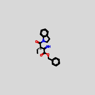 CC[C@@H](C(=N)C(=O)OCc1ccccc1)C(=O)N1CCc2ccccc21